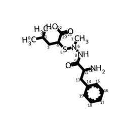 CC(C)CC(SN(C)NC(=O)C(N)Cc1ccccc1)C(=O)O